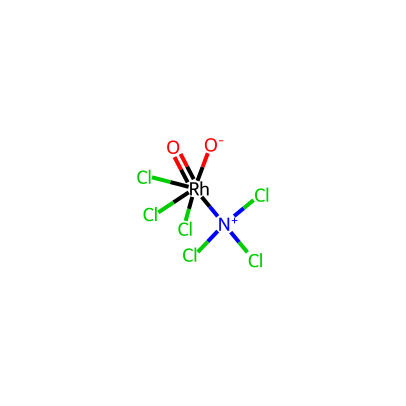 [O]=[Rh]([O-])([Cl])([Cl])([Cl])[N+](Cl)(Cl)Cl